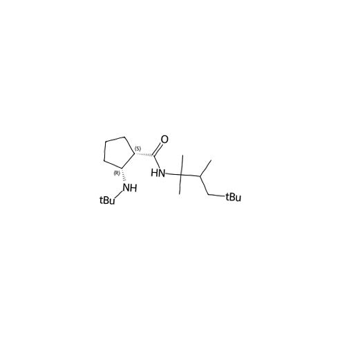 CC(CC(C)(C)C)C(C)(C)NC(=O)[C@H]1CCC[C@H]1NC(C)(C)C